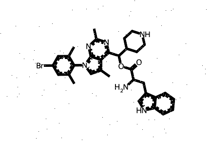 Cc1nc(C(OC(=O)C(N)Cc2c[nH]c3ccccc23)C2CCNCC2)c2c(C)cn(-c3c(C)cc(Br)cc3C)c2n1